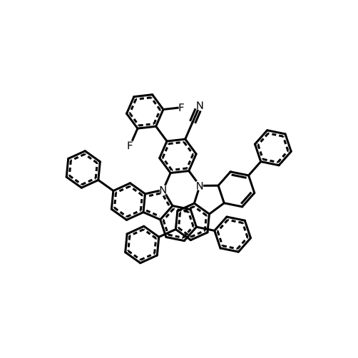 N#Cc1cc(N2c3cc(-c4ccccc4)ccc3C3C=CC(c4ccccc4)=CC32)c(-n2c3cc(-c4ccccc4)ccc3c3ccc(-c4ccccc4)cc32)cc1-c1c(F)cccc1F